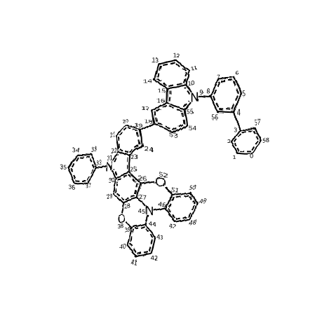 c1ccc(-c2cccc(-n3c4ccccc4c4cc(-c5ccc6c(c5)c5c7c8c(cc5n6-c5ccccc5)Oc5ccccc5N8c5ccccc5O7)ccc43)c2)cc1